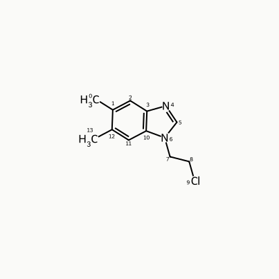 Cc1cc2ncn(CCCl)c2cc1C